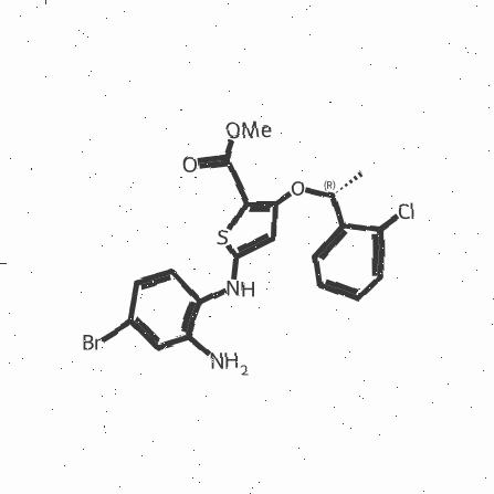 COC(=O)c1sc(Nc2ccc(Br)cc2N)cc1O[C@H](C)c1ccccc1Cl